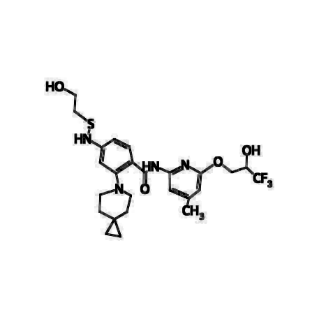 Cc1cc(NC(=O)c2ccc(NSCCO)cc2N2CCC3(CC2)CC3)nc(OCC(O)C(F)(F)F)c1